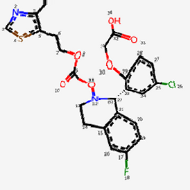 Cc1ncsc1CCOC(=O)ON1CCc2cc(F)ccc2[C@H]1c1cc(Cl)ccc1OCC(=O)O